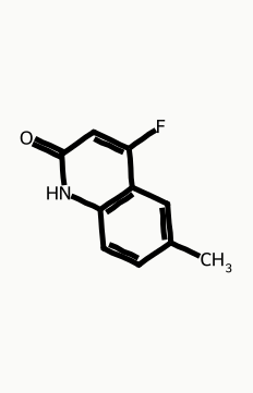 Cc1ccc2[nH]c(=O)cc(F)c2c1